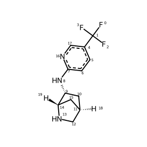 FC(F)(F)c1ccc(N[C@@H]2C[C@H]3CN[C@H]2C3)nc1